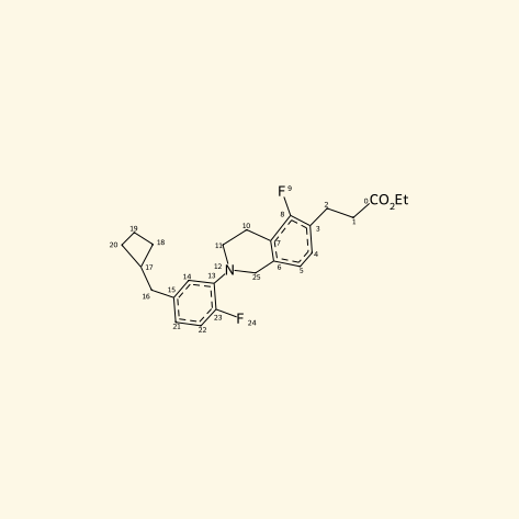 CCOC(=O)CCc1ccc2c(c1F)CCN(c1cc(CC3CCC3)ccc1F)C2